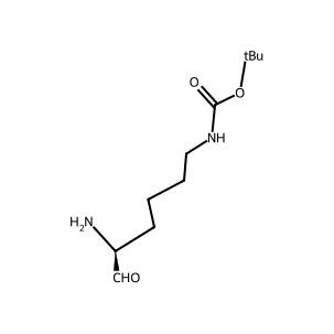 CC(C)(C)OC(=O)NCCCC[C@H](N)C=O